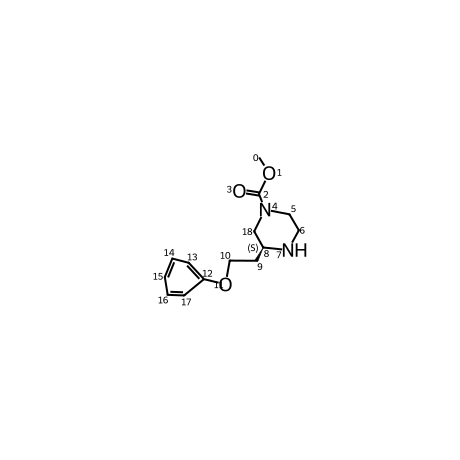 COC(=O)N1CCN[C@@H](CCOc2ccccc2)C1